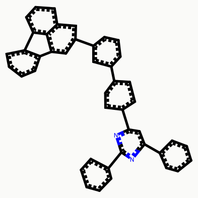 c1ccc(-c2cc(-c3ccc(-c4cccc(-c5cc6c7c(cccc7c5)-c5ccccc5-6)c4)cc3)nc(-c3ccccc3)n2)cc1